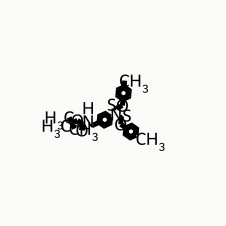 Cc1ccc(OC(=S)N(C(=S)Oc2ccc(C)cc2)c2ccc(CNC(=O)OC(C)(C)C)cc2)cc1